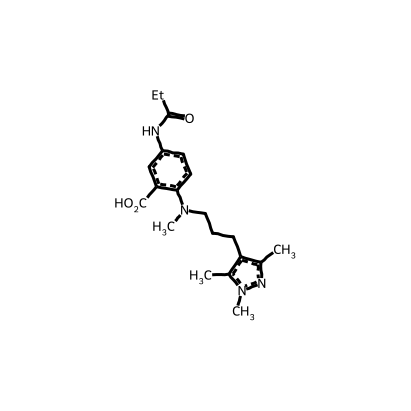 CCC(=O)Nc1ccc(N(C)CCCc2c(C)nn(C)c2C)c(C(=O)O)c1